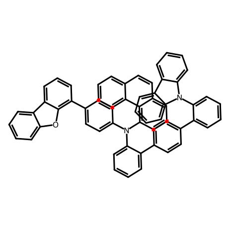 c1ccc(N(c2ccc(-c3cccc4c3oc3ccccc34)cc2)c2cccc3ccc4ccccc4c23)c(-c2ccc(-c3ccccc3-n3c4ccccc4c4ccccc43)cc2)c1